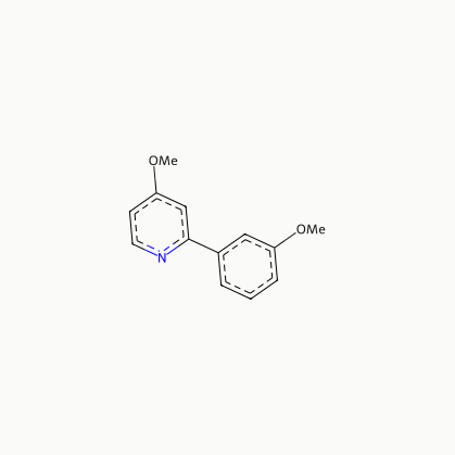 COc1cccc(-c2cc(OC)ccn2)c1